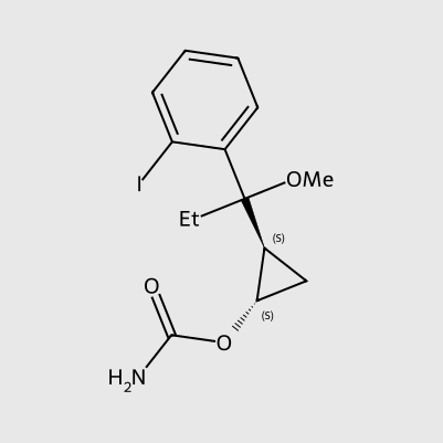 CCC(OC)(c1ccccc1I)[C@H]1C[C@@H]1OC(N)=O